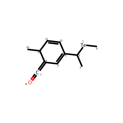 C[Te]C(C)C1=CC(=C=O)C(C)C=C1